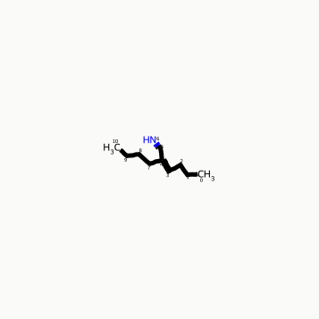 CCCC=C(C=N)CCCC